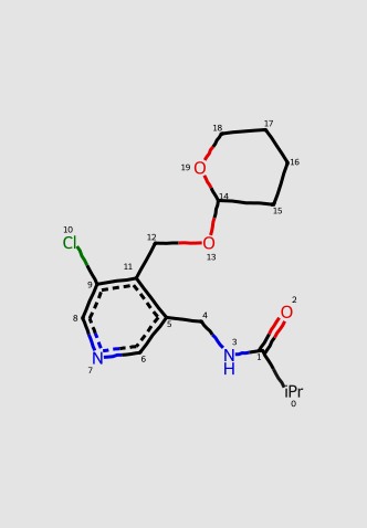 CC(C)C(=O)NCc1cncc(Cl)c1COC1CCCCO1